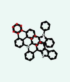 c1ccc(-c2ccccc2-c2c(-c3ccccc3)cccc2N(c2ccc3c(c2)c2ccccc2n3-c2ccccc2)c2ccccc2-c2cccc3c2sc2ccccc23)cc1